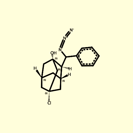 [N-]=[N+]=NC(c1ccccc1)[C@H]1[C@H]2C[C@@H]3C[C@](Cl)(C2)C[C@@]1(O)C3